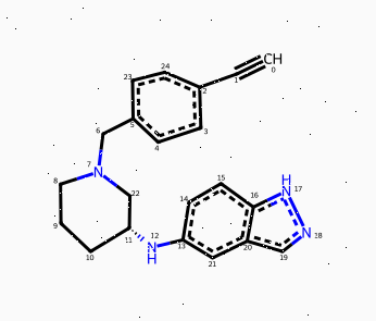 C#Cc1ccc(CN2CCC[C@@H](Nc3ccc4[nH]ncc4c3)C2)cc1